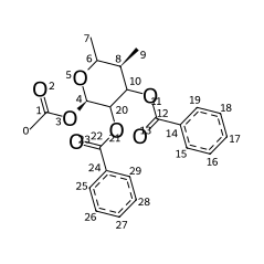 CC(=O)O[C@H]1OC(C)[C@@H](C)C(OC(=O)c2ccccc2)C1OC(=O)c1ccccc1